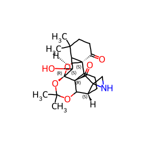 CC1(C)OC2[C@H]3CCC4[C@@]56CO[C@](O1)([C@@H](O)C5C(C)(C)CCC6=O)[C@@]24C(=O)C31CN1